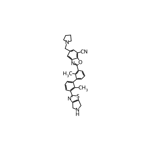 Cc1c(-c2nc3cc(CN4CCCC4)cc(C#N)c3o2)cccc1-c1cccc(-c2nc3c(s2)CNC3)c1C